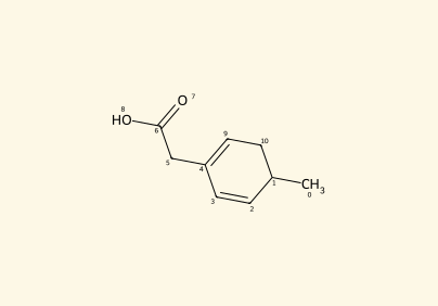 CC1C=CC(CC(=O)O)=CC1